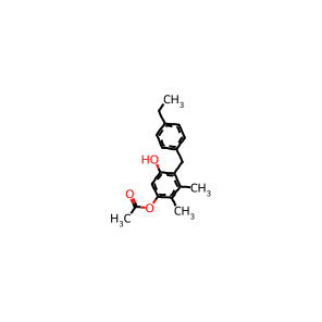 CCc1ccc(Cc2c(O)cc(OC(C)=O)c(C)c2C)cc1